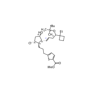 CCC1(C(C/C=C/[C@@H]2[C@@H](CCCc3ccc(C(=O)OC)s3)[C@H](Cl)C[C@H]2O)O[Si](C)(C)C(C)(C)C)CCC1